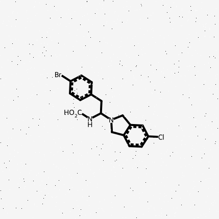 O=C(O)NC(Cc1ccc(Br)cc1)N1Cc2ccc(Cl)cc2C1